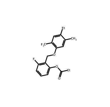 CCC(=O)Oc1cccc(F)c1COc1cc(C)c(CC)cc1C(F)(F)F